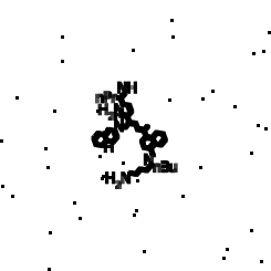 CCCC/C(CCCCN)=N\CC1=C2C=CCCC2=C(/C(C)=C/C=C(CNC2=CC[C@H]3CCC=CC3=C2)/C(/C=C\CC(C=N)CCC)=C/N)CC1